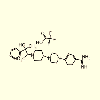 CC(O)(c1ccccc1)C(C(=O)O)N1CCC(N2CCN(c3ccc(C(=N)N)cc3)CC2)CC1.O=C(O)C(F)(F)F